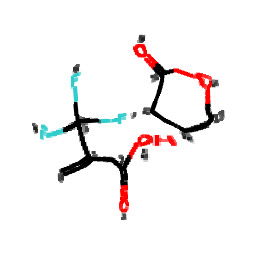 C=C(C(=O)O)C(F)(F)F.O=C1CCCO1